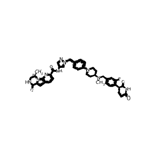 C[C@@H]1CNC(=O)c2cc3ccc(C(=O)Nc4cnn(Cc5ccc(N6CCC(N(C)Cc7ccc(C8CCC(=O)NC8=O)c(F)c7)CC6)cc5)c4)nc3n21